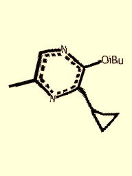 Cc1cnc(OCC(C)C)c(C2CC2)n1